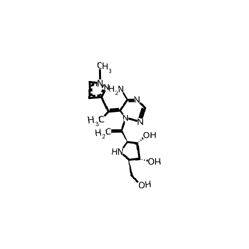 C=C([C@@H]1N[C@H](CO)[C@@H](O)[C@H]1O)N1N=CN=C(N)/C1=C(/C)c1ccn(C)n1